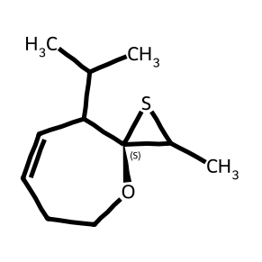 CC(C)C1C=CCCO[C@]12SC2C